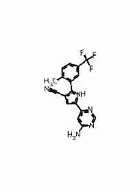 Cc1ccc(C(F)(F)F)cc1-c1[nH]c(-c2cc(N)ncn2)cc1C#N